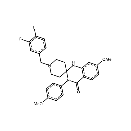 COc1ccc(N2C(=O)c3ccc(OC)cc3NC23CCN(Cc2ccc(F)c(F)c2)CC3)cc1